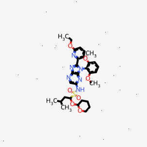 CCOc1cccc(-c2nc3ncc(NS(=O)(=O)C(CC(C)C)OC4CCCCO4)nc3n2-c2c(OC)cccc2OC)n1